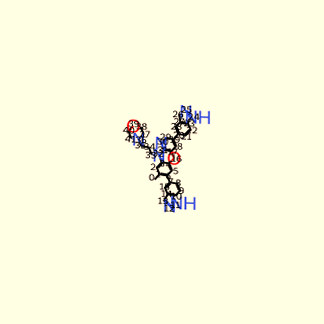 Cc1cc2c(cc1-c1ccc3[nH]ncc3c1)Oc1cc(-c3ccc4[nH]ncc4c3)cnc1N2CCCN1CCOCC1